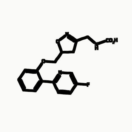 O=C(O)NCC1=NOC(COc2ccccc2-c2ccc(F)cn2)C1